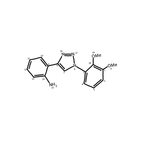 COc1cccc(-n2cc(-c3ccccc3N)nn2)c1OC